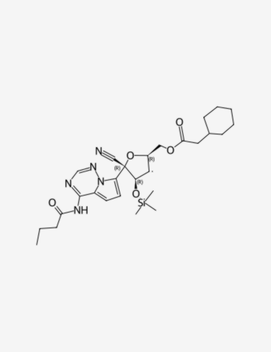 CCCC(=O)Nc1ncnn2c([C@]3(C#N)O[C@@H](COC(=O)CC4CCCCC4)[CH][C@H]3O[Si](C)(C)C)ccc12